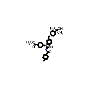 COC(=O)C1CCC(n2/c(=N/C(=O)c3ccc(F)cc3)[nH]c3ccc(CN4CCC(C(C)(C)O)CC4)cc32)CC1